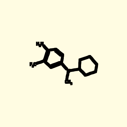 CN(c1ccc(N)c(C(F)(F)F)c1)C1CCCCC1